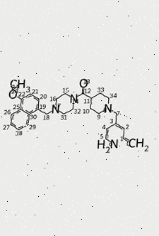 C=C/C=C(\C=C/N)CN1CCC(C(=O)N2CCN(Cc3ccc(OC)c4ccccc34)CC2)CC1